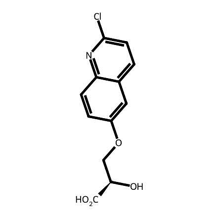 O=C(O)[C@H](O)COc1ccc2nc(Cl)ccc2c1